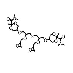 CN(C)C(=O)C1(C)OCC(OCC(CSCC(COC2COC(C)(C(=O)N(C)C)OC2)OCC2CO2)OCC2CO2)CO1